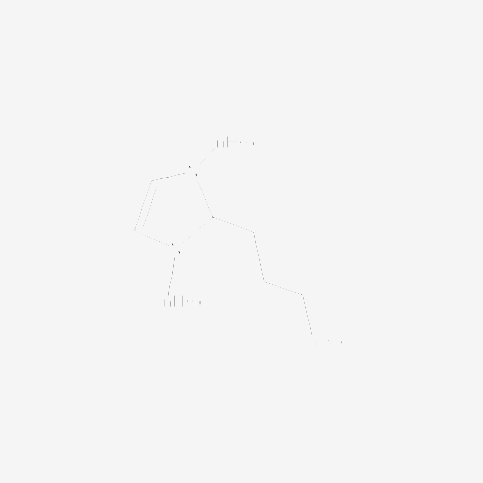 CCCCCCCCCCCCCC1N(CCCCCC)C=CN1CCCCCC